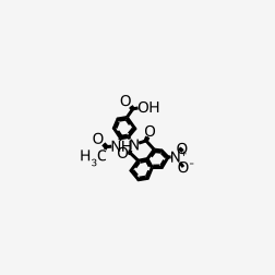 CC(=O)Nc1ccc(C(=O)O)cc1N1C(=O)c2cccc3cc([N+](=O)[O-])cc(c23)C1=O